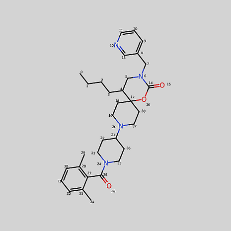 CCCCC1CN(Cc2cccnc2)C(=O)OC12CCN(C1CCN(C(=O)c3c(C)cccc3C)CC1)CC2